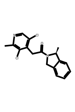 Cc1ncc(Cl)c(CC(=O)N2Cc3ccccc3[C@@H]2C)c1Cl